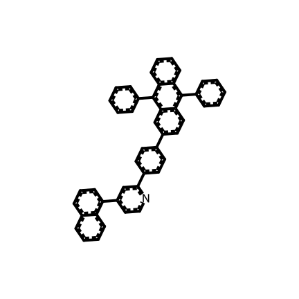 c1ccc(-c2c3ccccc3c(-c3ccccc3)c3cc(-c4ccc(-c5cc(-c6cccc7ccccc67)ccn5)cc4)ccc23)cc1